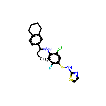 CCC(Nc1cc(F)c(SNc2nccs2)cc1Cl)c1ccc2c(c1)CCCC2